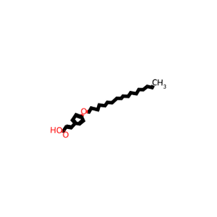 CCCCCCCCCCCCCCCCCCOc1ccc(/C=C/C(=O)O)cc1